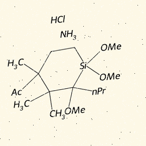 CCCC1(OC)C(C)(C)C(C)(C(C)=O)CC[Si]1(OC)OC.Cl.N